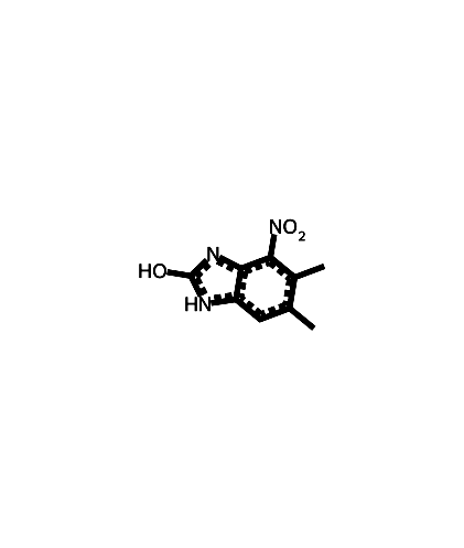 Cc1cc2[nH]c(O)nc2c([N+](=O)[O-])c1C